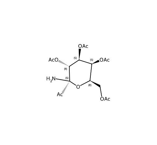 CC(=O)OC[C@H]1O[C@](N)(C(C)=O)[C@H](OC(C)=O)[C@@H](OC(C)=O)[C@H]1OC(C)=O